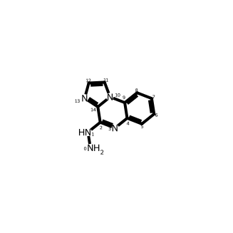 NNc1nc2ccccc2n2ccnc12